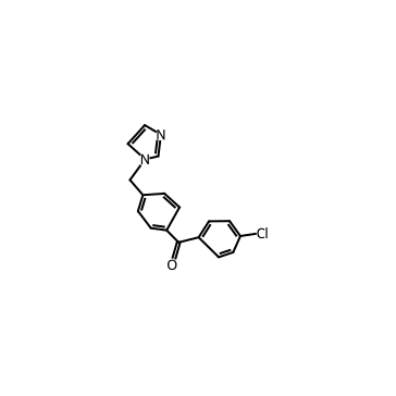 O=C(c1ccc(Cl)cc1)c1ccc(Cn2ccnc2)cc1